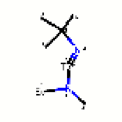 CC[N](C)[Ta+2]=[N]C(C)(C)C